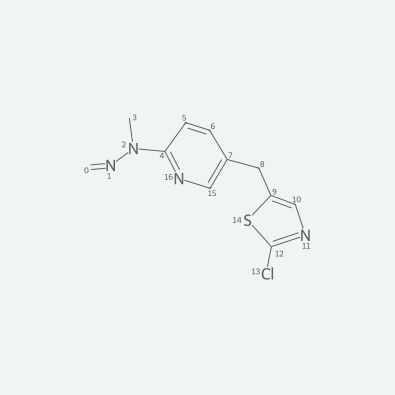 C=NN(C)c1ccc(Cc2cnc(Cl)s2)cn1